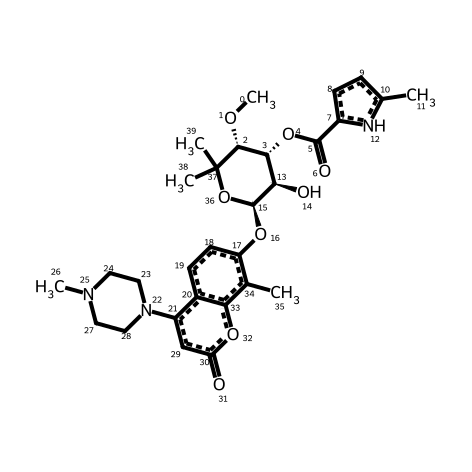 CO[C@@H]1[C@H](OC(=O)c2ccc(C)[nH]2)[C@@H](O)[C@@H](Oc2ccc3c(N4CCN(C)CC4)cc(=O)oc3c2C)OC1(C)C